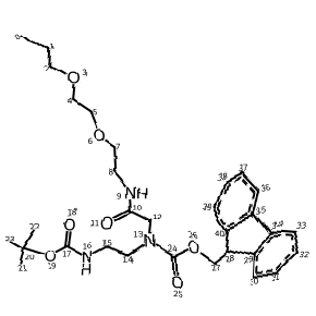 CCCOCCOCCNC(=O)CN(CCNC(=O)OC(C)(C)C)C(=O)OCC1c2ccccc2-c2ccccc21